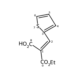 CCOC(=O)C(=Cc1cccs1)C(=O)O